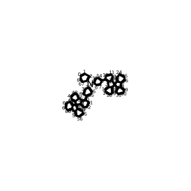 c1ccc(N(c2ccc(-c3cccc4c3-c3ccccc3C43c4ccccc4-c4ccccc43)cc2)c2ccc(-c3cccc4c3-c3ccccc3C43c4ccccc4-c4ccccc43)cc2)cc1